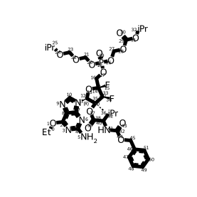 CCOc1nc(N)nc2c1ncn2[C@@H]1O[C@](F)(COP(=O)(OCOCOC(C)C)OCOC(=O)OC(C)C)[C@@H](F)[C@@]1(C)OC(=O)C(NC(=O)OCc1ccccc1)C(C)C